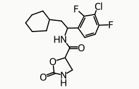 O=C1NCC(C(=O)NC(CC2CCCCC2)c2ccc(F)c(Cl)c2F)O1